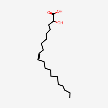 CCCCCCCCCC/C=C\CCCCCCC(O)C(=O)O